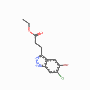 CCOC(=O)CCc1n[nH]c2cc(Cl)c(Br)cc12